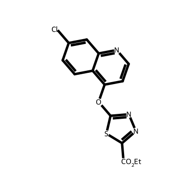 CCOC(=O)c1nnc(Oc2ccnc3cc(Cl)ccc23)s1